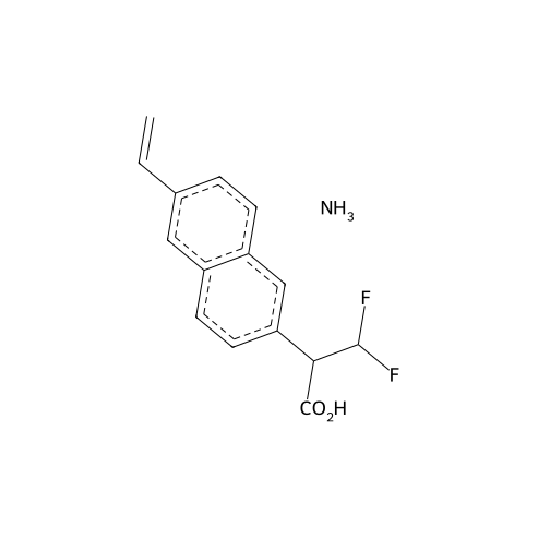 C=Cc1ccc2cc(C(C(=O)O)C(F)F)ccc2c1.N